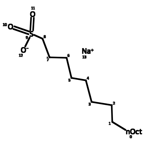 CCCCCCCCCCCCCC[CH]CS(=O)(=O)[O-].[Na+]